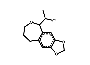 CC(Cl)C1OCCCc2cc3c(cc21)OCO3